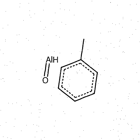 Cc1ccccc1.[O]=[AlH]